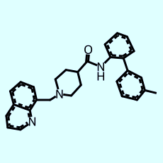 Cc1cccc(-c2ccccc2NC(=O)C2CCN(Cc3cccc4cccnc34)CC2)c1